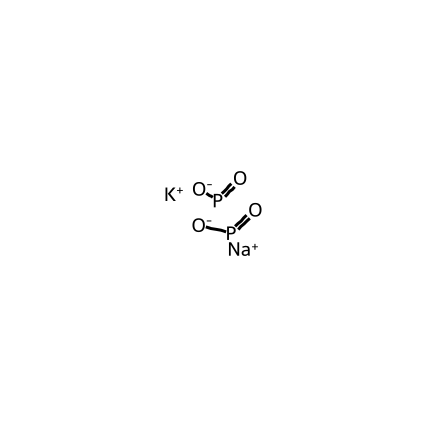 O=P[O-].O=P[O-].[K+].[Na+]